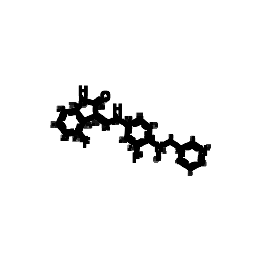 CN(Cc1cccnc1)c1ccc(N/C=C2\C(=O)Nc3cccc(F)c32)cc1F